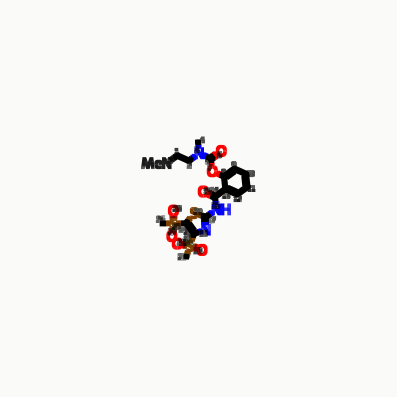 CNCCN(C)C(=O)Oc1ccccc1C(=O)Nc1nc(S(C)(=O)=O)c(S(C)(=O)=O)s1